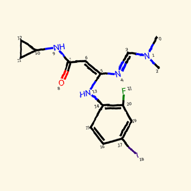 CN(C)/C=N/C(=C/C(=O)NC1CC1)Nc1ccc(I)cc1F